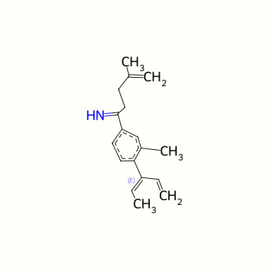 C=C/C(=C\C)c1ccc(C(=N)CCC(=C)C)cc1C